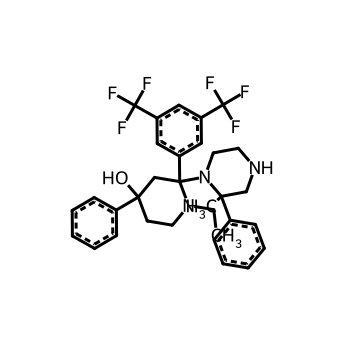 CCN1CCC(O)(c2ccccc2)CC1(c1cc(C(F)(F)F)cc(C(F)(F)F)c1)N1CCNCC1(C)c1ccccc1